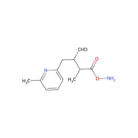 Cc1cccc(CC(C=O)C(C)C(=O)ON)n1